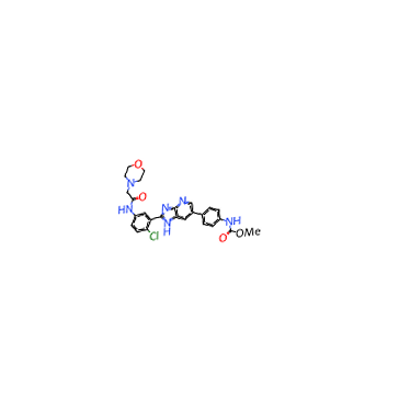 COC(=O)Nc1ccc(-c2cnc3nc(-c4cc(NC(=O)CN5CCOCC5)ccc4Cl)[nH]c3c2)cc1